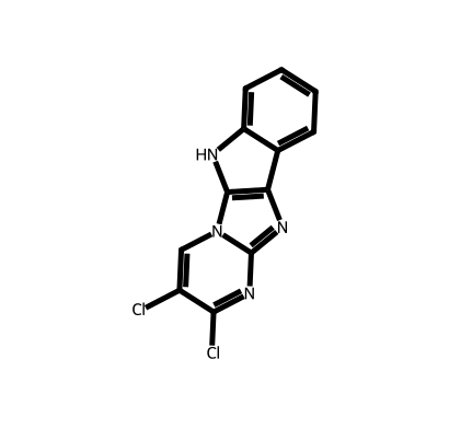 Clc1cn2c(nc1Cl)nc1c3ccccc3[nH]c12